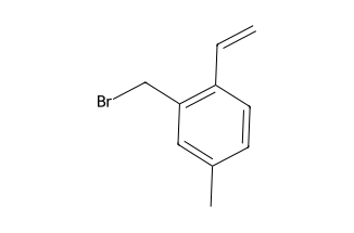 C=Cc1ccc(C)cc1CBr